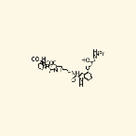 CC(C)NCC(O)COc1cccc2[nH]c(C(=O)NCCCCC(NC(C)C(=O)N3CCCC3C(=O)O)C(=O)O)cc12